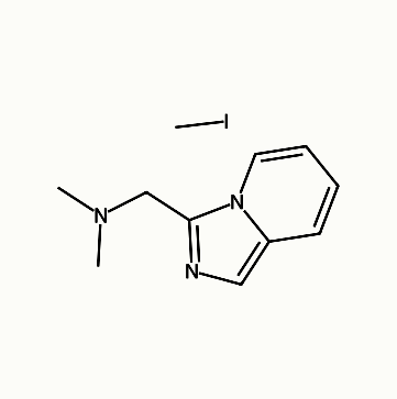 CI.CN(C)Cc1ncc2ccccn12